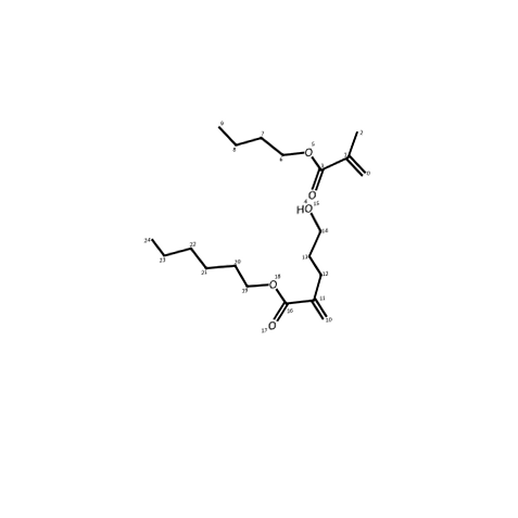 C=C(C)C(=O)OCCCC.C=C(CCCO)C(=O)OCCCCCC